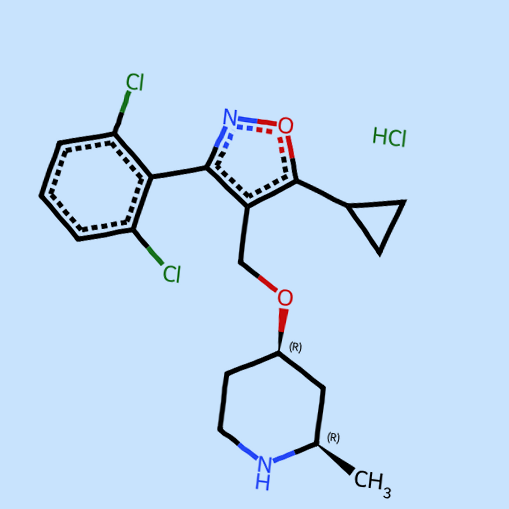 C[C@@H]1C[C@H](OCc2c(-c3c(Cl)cccc3Cl)noc2C2CC2)CCN1.Cl